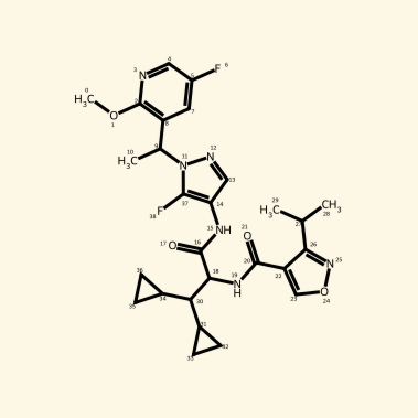 COc1ncc(F)cc1C(C)n1ncc(NC(=O)C(NC(=O)c2conc2C(C)C)C(C2CC2)C2CC2)c1F